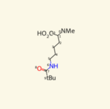 CNC(CCCCNC(=O)C(C)(C)C)C(=O)O